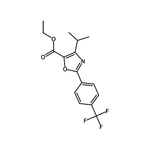 CCOC(=O)c1oc(-c2ccc(C(F)(F)F)cc2)nc1C(C)C